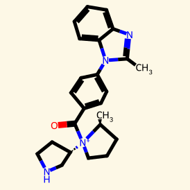 Cc1nc2ccccc2n1-c1ccc(C(=O)[N+]2([C@H]3CCNC3)CCC[C@@H]2C)cc1